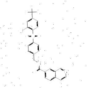 O=C(NCc1ccc(S(=O)(=O)c2ccc(C(F)(F)F)cc2Cl)cc1)c1ccc2ccncc2c1